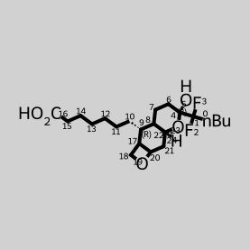 CCCCC(F)(F)[C@@]1(O)CCC2[C@@H](CCCCCCC(=O)O)C3COC3C[C@H]2O1